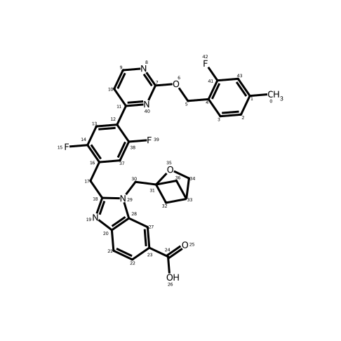 Cc1ccc(COc2nccc(-c3cc(F)c(Cc4nc5ccc(C(=O)O)cc5n4CC45CC(CO4)C5)cc3F)n2)c(F)c1